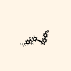 Cc1ccc(C(=O)Nc2cc(C#Cc3cnc4ccc(-c5ccc(C=O)cc5)nn34)ccn2)cc1